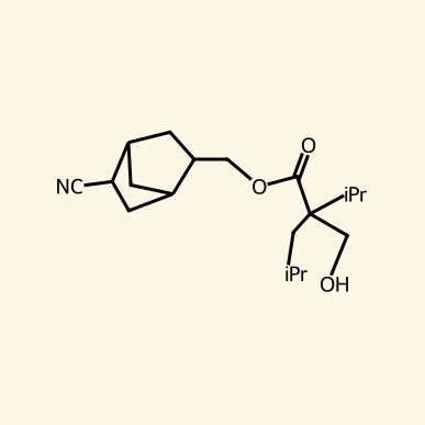 CC(C)CC(CO)(C(=O)OCC1CC2CC1CC2C#N)C(C)C